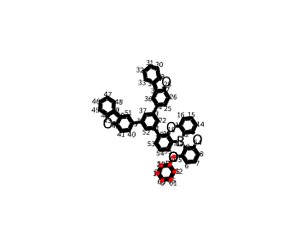 c1ccc(Oc2cccc3c2B2c4c(cccc4Oc4c(-c5cc(-c6ccc7oc8ccccc8c7c6)cc(-c6ccc7oc8ccccc8c7c6)c5)ccc(Oc5ccccc5)c42)O3)cc1